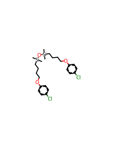 C[Si](C)(CCCCOc1ccc(Cl)cc1)O[Si](C)(C)CCCCOc1ccc(Cl)cc1